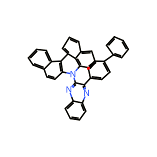 c1ccc(-c2ccc(-c3nc4ccccc4nc3N3c4ccc5ccccc5c4-c4cccc5cccc3c45)cc2)cc1